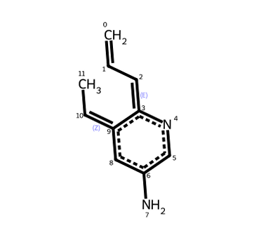 C=C/C=c1/ncc(N)c/c1=C/C